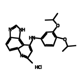 Cc1cc(Nc2ccc(OC(C)C)c(OC(C)C)c2)c2c(ccc3nc[nH]c32)n1.Cl